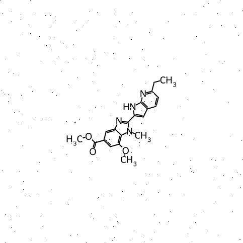 CCc1ccc2cc(-c3nc4cc(C(=O)OC)cc(OC)c4n3C)[nH]c2n1